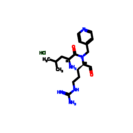 CC(C)C[C@H](N)C(=O)N(Cc1ccncc1)[C@H](C=O)CCCNC(=N)N.Cl